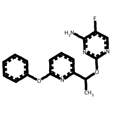 CC(Oc1ncc(F)c(N)n1)c1cccc(Oc2ccccc2)n1